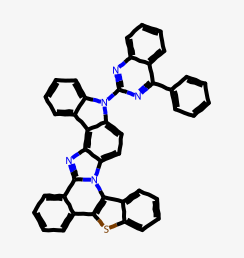 c1ccc(-c2nc(-n3c4ccccc4c4c5nc6c7ccccc7c7sc8ccccc8c7n6c5ccc43)nc3ccccc23)cc1